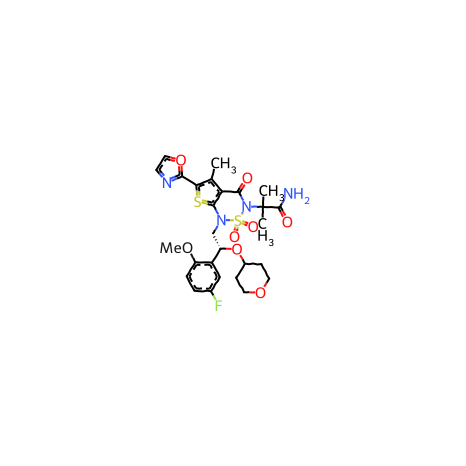 COc1ccc(F)cc1[C@H](CN1c2sc(-c3ncco3)c(C)c2C(=O)N(C(C)(C)C(N)=O)S1(=O)=O)OC1CCOCC1